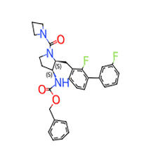 O=C(N[C@H]1CCN(C(=O)N2CCC2)[C@H]1Cc1cccc(-c2cccc(F)c2)c1F)OCc1ccccc1